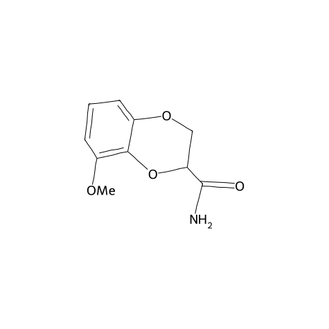 COc1cccc2c1OC(C(N)=O)CO2